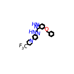 FC(F)(F)C1CCN(c2ccc3nc(-c4n[nH]c5ccc(OCc6ccccc6)cc45)[nH]c3c2)CC1